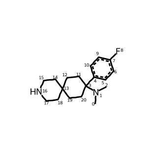 CN(C)C1(c2ccc(F)cc2)CCC2(CCNCC2)CC1